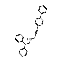 C(#Cc1ccc(-c2ccccc2)cc1)CNCC(c1ccccc1)c1ccccc1